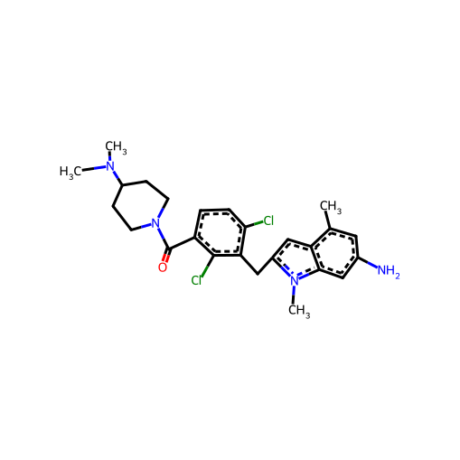 Cc1cc(N)cc2c1cc(Cc1c(Cl)ccc(C(=O)N3CCC(N(C)C)CC3)c1Cl)n2C